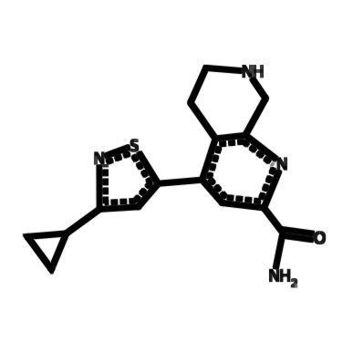 NC(=O)c1cc(-c2cc(C3CC3)ns2)c2c(n1)CNCC2